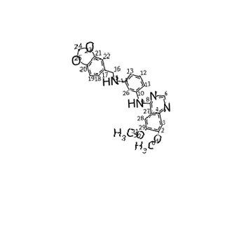 COc1cc2ncnc(Nc3cccc(NCc4ccc5c(c4)OCO5)c3)c2cc1OC